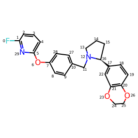 Fc1cccc(Oc2ccc(CN3CCC[C@H]3c3ccc4c(c3)OCCO4)cc2)n1